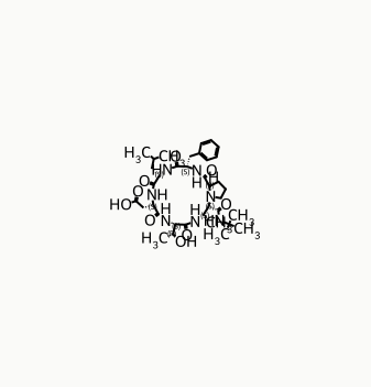 CC(C)C[C@@H]1NC(=O)[C@H](Cc2ccccc2)NC(=O)[C@@H]2CCCN2[C@H](C(=O)NC(C)(C)C)[C@H](C)NC(=O)[C@H]([C@@H](C)O)NC(=O)[C@H](CC(=O)O)NC1=O